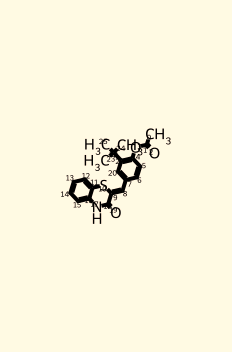 CC(=O)Oc1ccc(C=C2Sc3ccccc3NC2=O)cc1C(C)(C)C